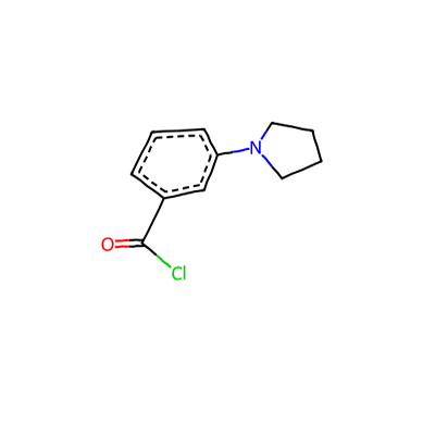 O=C(Cl)c1cccc(N2CCCC2)c1